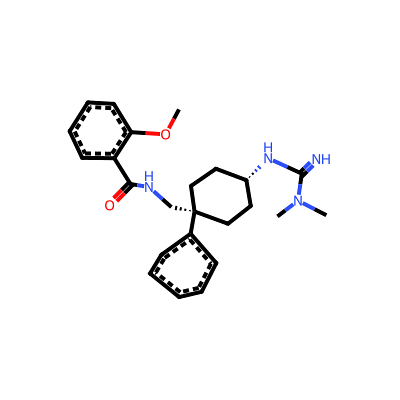 COc1ccccc1C(=O)NC[C@]1(c2ccccc2)CC[C@H](NC(=N)N(C)C)CC1